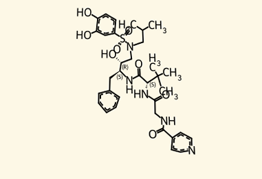 CC(C)CN(C[C@@H](O)[C@H](Cc1ccccc1)NC(=O)[C@@H](NC(=O)CNC(=O)c1ccncc1)C(C)(C)C)S(=O)(=O)c1ccc(O)c(O)c1